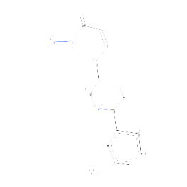 C=C(/C=C\CC[C@@H](C)NC(CO)c1cccc(OC)c1)NN